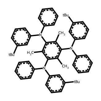 Cc1c(N(c2ccccc2)c2cccc(C(C)(C)C)c2)c(C)c(N(c2ccccc2)c2cccc(C(C)(C)C)c2)c(C)c1N(c1ccccc1)c1cccc(C(C)(C)C)c1